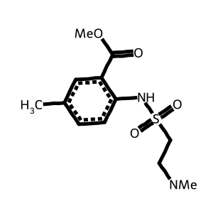 CNCCS(=O)(=O)Nc1ccc(C)cc1C(=O)OC